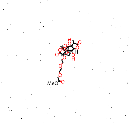 COC(=O)COCCOCCO[C@H]1C(=O)O[C@H]2O[C@]34C(=O)OC5CCC21[C@@]53[C@@H](O)[C@@H]1OC(=O)C(C)[C@@]14O